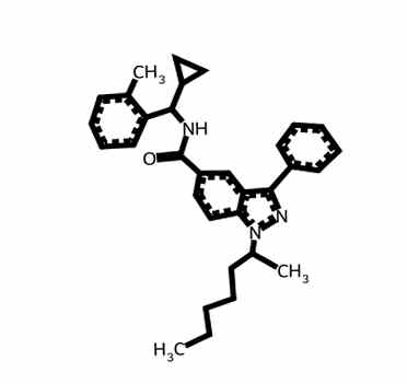 CCCCCC(C)n1nc(-c2ccccc2)c2cc(C(=O)NC(c3ccccc3C)C3CC3)ccc21